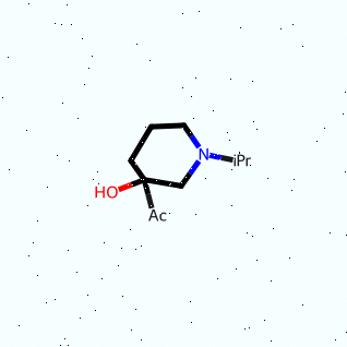 CC(=O)C1(O)CCCN(C(C)C)C1